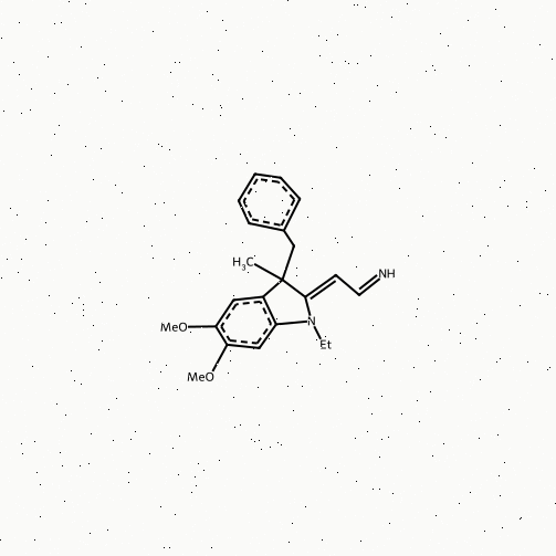 CCN1/C(=C\C=N)C(C)(Cc2ccccc2)c2cc(OC)c(OC)cc21